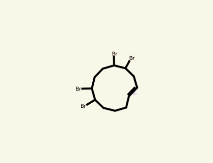 BrC1C/C=C/CCCC(Br)C(Br)CCC1Br